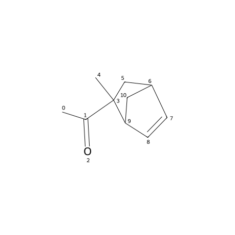 CC(=O)C1(C)CC2C=CC1C2